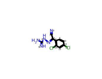 N#CC(=NNC(=N)N)c1ccc(Cl)cc1Cl